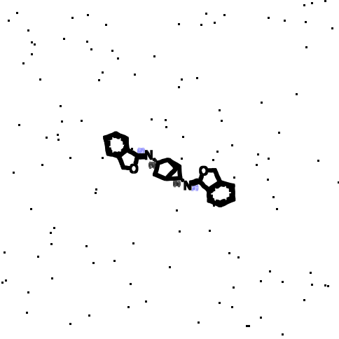 c1ccc2c(c1)CO/C2=N\[C@H]1CC2CC1C[C@@H]2/N=C1\OCc2ccccc21